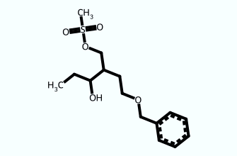 CCC(O)C(CCOCc1ccccc1)COS(C)(=O)=O